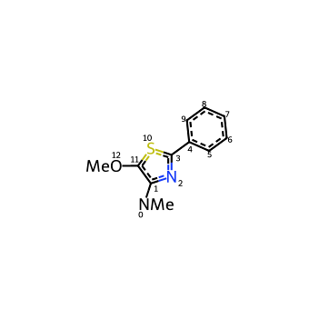 CNc1nc(-c2ccccc2)sc1OC